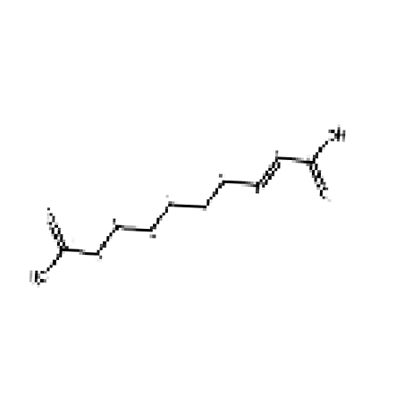 O=C(O)C=CCCCCCCC(=O)O